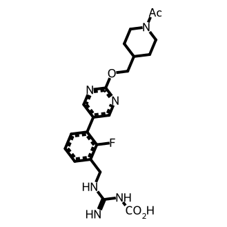 CC(=O)N1CCC(COc2ncc(-c3cccc(CNC(=N)NC(=O)O)c3F)cn2)CC1